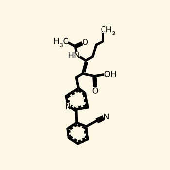 CCCCC(NC(C)=O)=C(Cc1ccc(-c2ccccc2C#N)nc1)C(=O)O